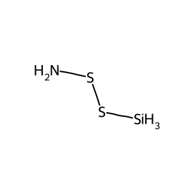 NSS[SiH3]